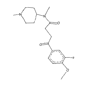 COc1ccc(C(=O)CCC(=O)N(C)C2CCN(C)CC2)cc1F